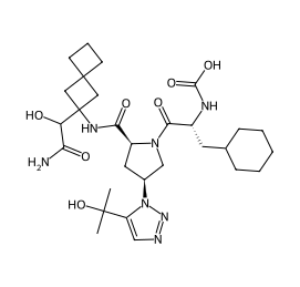 CC(C)(O)c1cnnn1[C@H]1C[C@@H](C(=O)NC2(C(O)C(N)=O)CC3(CCC3)C2)N(C(=O)[C@@H](CC2CCCCC2)NC(=O)O)C1